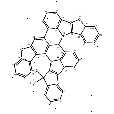 CC1(C)c2ccccc2-c2c1n1c3c(cccc23)B2c3c(cc4oc5ccccc5c4c3-1)-c1cccc3c4oc5ccccc5c4n2c13